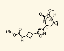 CC(C)(C)OC(=O)NC1CC(c2cc([C@@H]3CC4(CC4)[C@H]4CN3C(=O)N4O)no2)C1